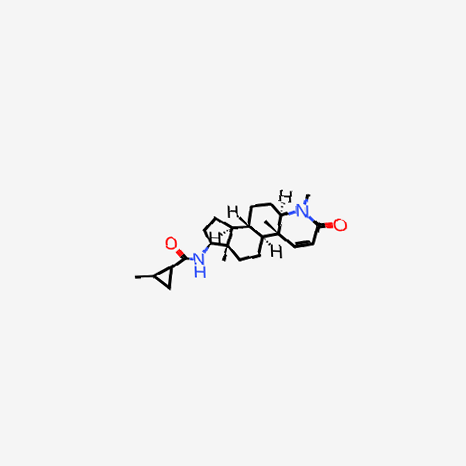 CC1CC1C(=O)N[C@H]1CC[C@H]2[C@@H]3CC[C@H]4N(C)C(=O)C=C[C@]4(C)[C@H]3CC[C@]12C